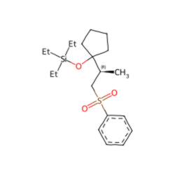 CC[Si](CC)(CC)OC1([C@@H](C)CS(=O)(=O)c2ccccc2)CCCC1